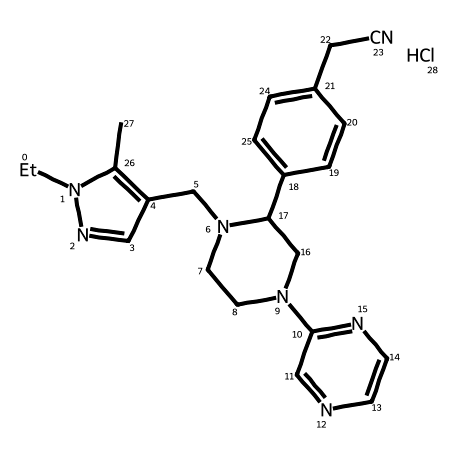 CCn1ncc(CN2CCN(c3cnccn3)CC2c2ccc(CC#N)cc2)c1C.Cl